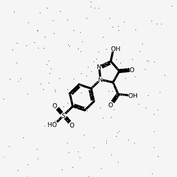 O=C(O)C1C(=O)C(O)=NN1c1ccc(S(=O)(=O)O)cc1